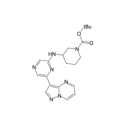 CC(C)(C)OC(=O)N1CCCC(Nc2cncc(-c3cnn4cccnc34)n2)C1